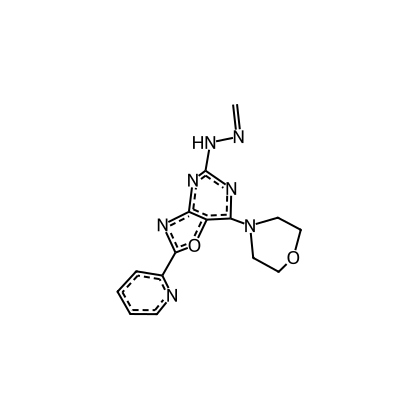 C=NNc1nc(N2CCOCC2)c2oc(-c3ccccn3)nc2n1